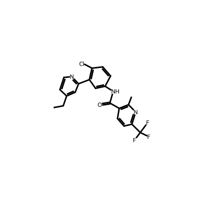 CCc1ccnc(-c2cc(NC(=O)c3ccc(C(F)(F)F)nc3C)ccc2Cl)c1